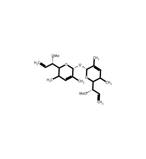 C=C[C@H](OC)C1O[C@H](O[C@H]2OC([C@H](C=C)OC)C(C)C=C2C)C(C)=CC1C